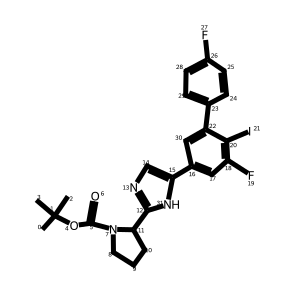 CC(C)(C)OC(=O)N1CCCC1c1ncc(-c2cc(F)c(I)c(-c3ccc(F)cc3)c2)[nH]1